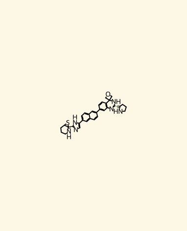 c1cc2c(cc1-c1ccc3cc(-c4cnc([C@@]56NCCCC5S6)[nH]4)ccc3c1)N=C([C@@H]1CCCN1)NC21COC1